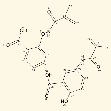 C=C(C)C(=O)NOc1ccccc1C(=O)O.C=C(C)C(=O)Nc1ccc(O)c(C(=O)O)c1